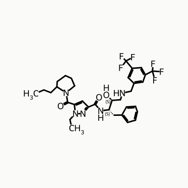 CCCC1CCCCN1C(=O)c1cc(C(=O)N[C@@H](Cc2ccccc2)[C@@H](O)CNCc2cc(C(F)(F)F)cc(C(F)(F)F)c2)nn1CC